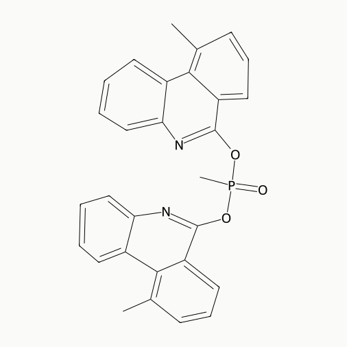 Cc1cccc2c(OP(C)(=O)Oc3nc4ccccc4c4c(C)cccc34)nc3ccccc3c12